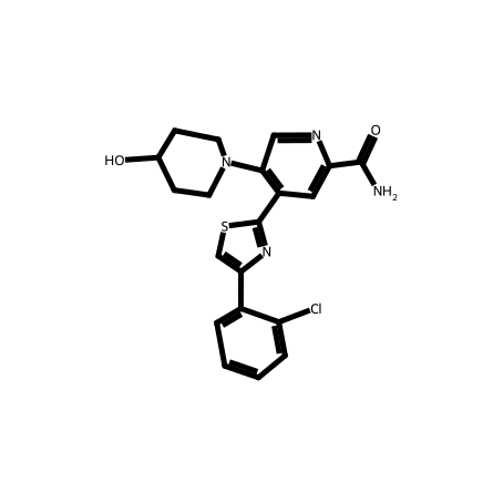 NC(=O)c1cc(-c2nc(-c3ccccc3Cl)cs2)c(N2CCC(O)CC2)cn1